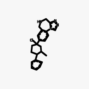 CC1CC(Cl)(c2ccc3c(c2)CNCc2nncn2-3)CCC1c1ccccc1